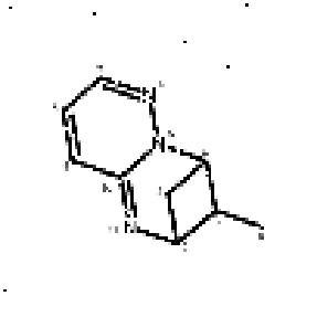 CC1C2CC1N1N=CC=CC1=N2